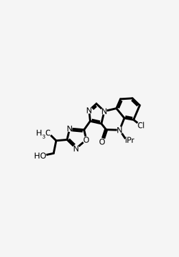 CC(CO)c1noc(-c2ncn3c2c(=O)n(C(C)C)c2c(Cl)cccc23)n1